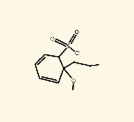 CCCC1(OC)C=CC=CC1S(=O)(=O)Cl